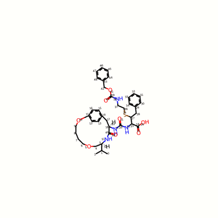 CC(C)[C@H]1COCCCCOc2ccc(cc2)C[C@@H](NC(=O)NC(C(=O)O)C(Cc2ccccc2)SCCNC(=O)OCc2ccccc2)C(=O)N1